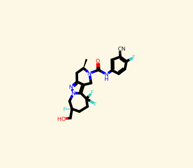 C[C@@H]1Cc2nn3c(c2CN1C(=O)Nc1ccc(F)c(C#N)c1)C(F)(F)CC[C@@](F)(CO)C3